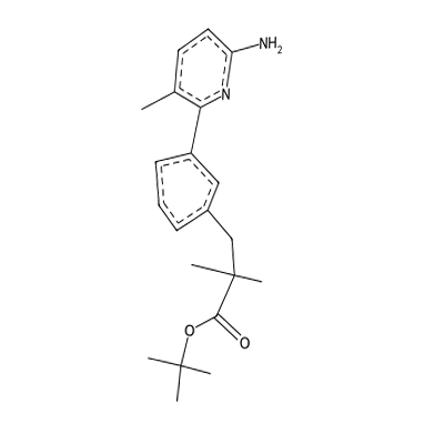 Cc1ccc(N)nc1-c1cccc(CC(C)(C)C(=O)OC(C)(C)C)c1